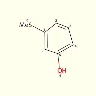 [CH2]Sc1cccc(O)c1